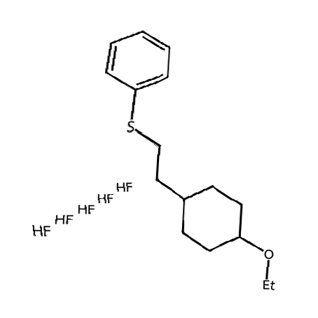 CCOC1CCC(CCSc2ccccc2)CC1.F.F.F.F.F